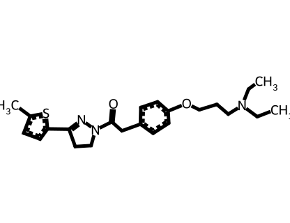 CCN(CC)CCCOc1ccc(CC(=O)N2CCC(c3ccc(C)s3)=N2)cc1